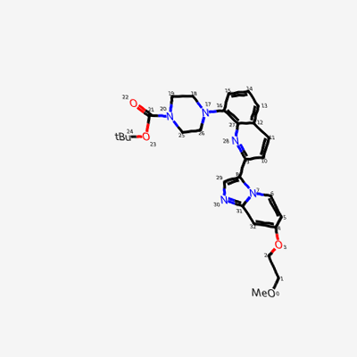 COCCOc1ccn2c(-c3ccc4cccc(N5CCN(C(=O)OC(C)(C)C)CC5)c4n3)cnc2c1